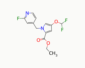 CCOC(=O)c1cc(OC(F)F)cn1Cc1ccnc(F)c1